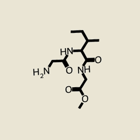 CCC(C)C(NC(=O)CN)C(=O)NCC(=O)OC